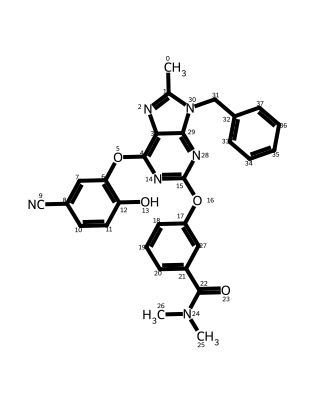 Cc1nc2c(Oc3cc(C#N)ccc3O)nc(Oc3cccc(C(=O)N(C)C)c3)nc2n1Cc1ccccc1